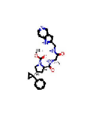 C[C@H](NC(=O)[C@H]1C[C@H](C2(c3ccccc3)CC2)CN1C(=O)OC(C)(C)C)C(=O)NCc1cc2cnccc2[nH]1